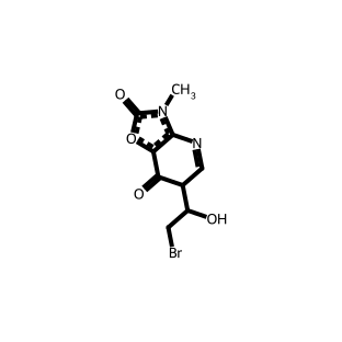 Cn1c2c(oc1=O)C(=O)C(C(O)CBr)C=N2